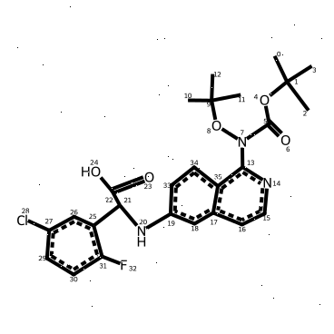 CC(C)(C)OC(=O)N(OC(C)(C)C)c1nccc2cc(NC(C(=O)O)c3cc(Cl)ccc3F)ccc12